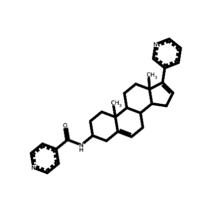 CC12CCC(NC(=O)c3ccncc3)CC1=CCC1C2CCC2(C)C(c3cccnc3)=CCC12